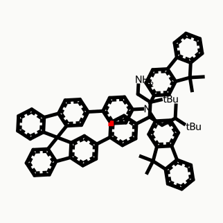 CC(CC(c1ccc(-c2ccc3c(c2)C2(c4ccccc4-3)c3ccccc3-c3ccc(-c4ccc(N(c5ccc6c(c5)C(C)(C)c5ccccc5-6)c5ccc6c(c5)C(C)(C)c5ccccc5-6)cc4)cc32)cc1)C(CN)C(C)(C)C)C(C)(C)C